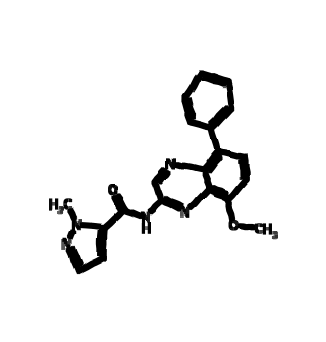 COc1ccc(-c2ccccc2)c2ncc(NC(=O)c3ccnn3C)nc12